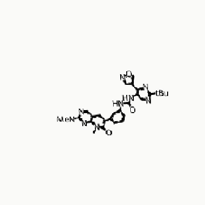 CNc1ncc2cc(-c3cccc(NC(=O)Nc4cnc(C(C)(C)C)nc4-c4cnoc4)c3)c(=O)n(C)c2n1